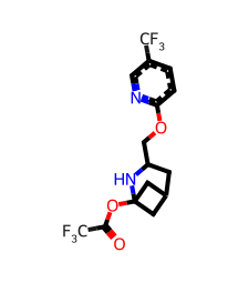 O=C(OC12CC(CC(COc3ccc(C(F)(F)F)cn3)N1)C2)C(F)(F)F